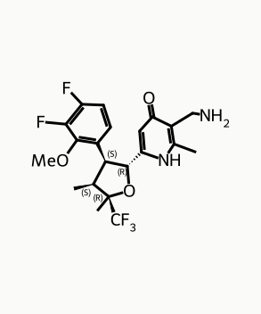 COc1c([C@H]2[C@H](c3cc(=O)c(CN)c(C)[nH]3)O[C@@](C)(C(F)(F)F)[C@H]2C)ccc(F)c1F